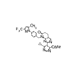 COc1ncnc(C2CC2)c1-c1ncc2c(n1)N(Cc1ccc(-n3nc(C(F)(F)F)cc3C)cc1)C(=O)CC2